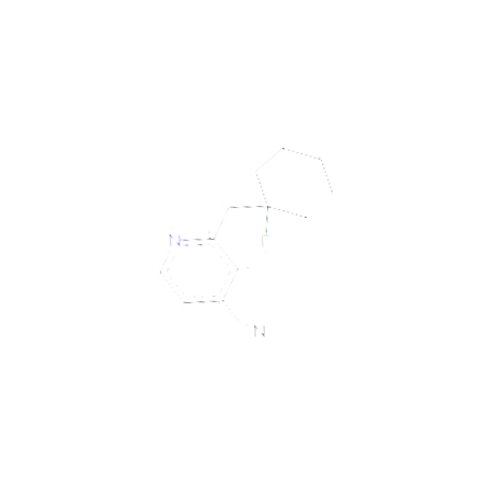 N#Cc1ccnc(CC2(F)CCCCC2)c1